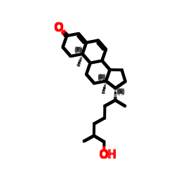 CC(CO)CCCC(C)[C@H]1CCC2C3C=CC4=CC(=O)CC[C@]4(C)C3CC[C@@]21C